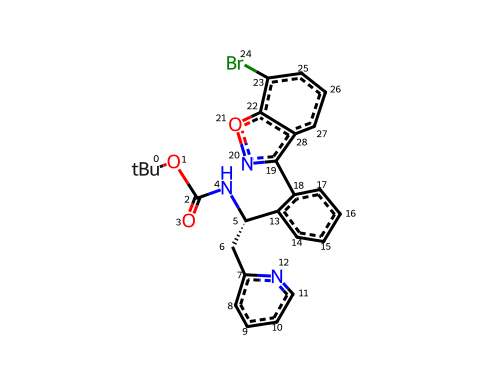 CC(C)(C)OC(=O)N[C@@H](Cc1ccccn1)c1ccccc1-c1noc2c(Br)cccc12